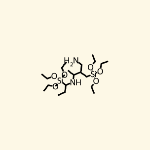 CCO[Si](CC(CN)C(C)NC(CC)[Si](OCC)(OCC)OCC)(OCC)OCC